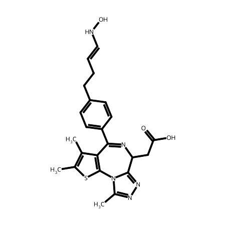 Cc1sc2c(c1C)C(c1ccc(CCC=CNO)cc1)=NC(CC(=O)O)c1nnc(C)n1-2